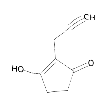 C#CCC1=C(O)CCC1=O